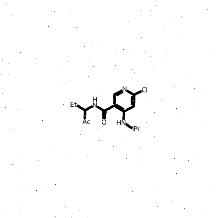 CCC(NC(=O)c1cnc(Cl)cc1NC(C)C)C(C)=O